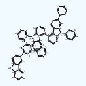 c1ccc(-c2ccc3c4c(-c5cccc6c5c5ccccc5n6-c5ccccc5-c5nc(-c6ccccc6)nc(-c6ccc7oc8ccccc8c7c6)n5)cccc4n(-c4ccccc4)c3c2)cc1